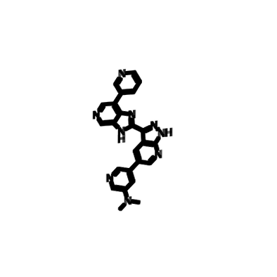 CN(C)c1cncc(-c2cnc3[nH]nc(-c4nc5c(-c6cccnc6)cncc5[nH]4)c3c2)c1